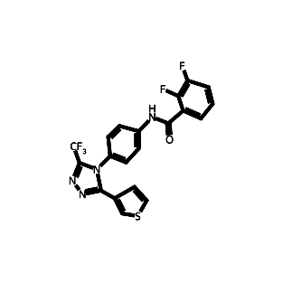 O=C(Nc1ccc(-n2c(-c3ccsc3)nnc2C(F)(F)F)cc1)c1cccc(F)c1F